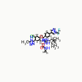 Cc1nnc(-c2cc([C@@H](COC(=O)NC3CC3)N(C(=N)NCCC(C)(C)C)C(=O)c3ccc(-c4cnn(C(F)F)c4)cc3)ccc2Cl)[nH]1